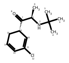 C[C@@H](NC(C)(C)C)C(=O)[C@@H]1C=C(Cl)C=CC1